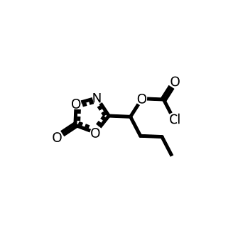 CCCC(OC(=O)Cl)c1noc(=O)o1